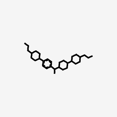 CCCC1CCC(c2ccc(C(C)C3CCC(C4CCC(CCC)CC4)CC3)cc2)CC1